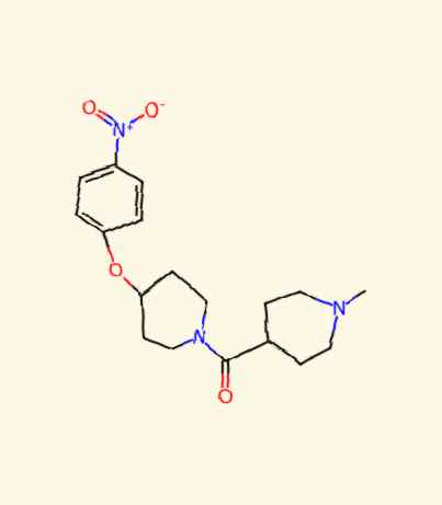 CN1CCC(C(=O)N2CCC(Oc3ccc([N+](=O)[O-])cc3)CC2)CC1